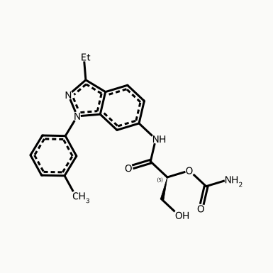 CCc1nn(-c2cccc(C)c2)c2cc(NC(=O)[C@H](CO)OC(N)=O)ccc12